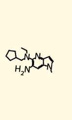 CCN(CC1CCCC1)c1nc2ccn(C)c2cc1N